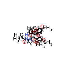 CC[C@H](C)C(=O)N[C@@H]1CCCN1C(=O)[C@H]1C(=O)c2c(OC)cc(OC)cc2O[C@@](C(=O)OC)(c2ccc(OC)cc2)[C@@H]1c1ccccc1